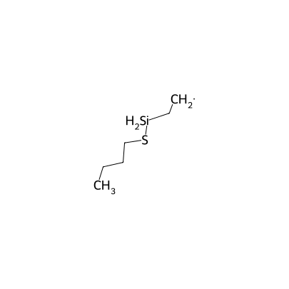 [CH2]C[SiH2]SCCCC